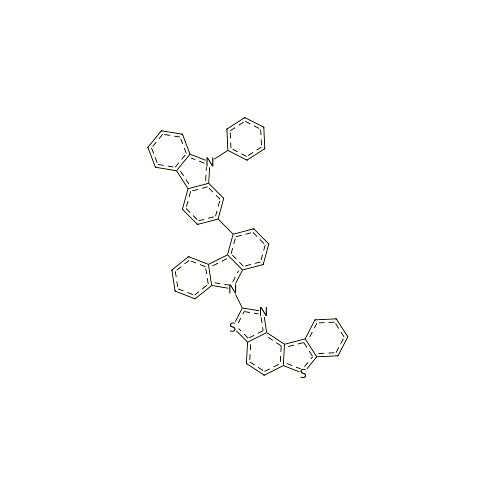 c1ccc(-n2c3ccccc3c3ccc(-c4cccc5c4c4ccccc4n5-c4nc5c(ccc6sc7ccccc7c65)s4)cc32)cc1